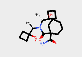 CC(C)[C@@H](N(C(=O)C1(C(N)=O)CCCCC1)[C@H](C(C)C)C1(O)CCC1)C1(O)CCC1